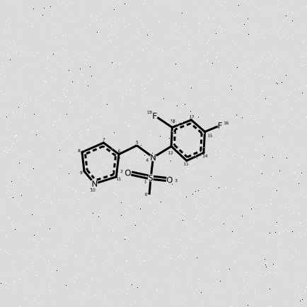 CS(=O)(=O)N(Cc1cccnc1)c1ccc(F)cc1F